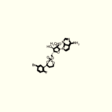 C[C@@]1(O)[C@H](O)[C@@H](COP2(=O)OCC[C@@H](c3cc(Br)ccc3F)O2)O[C@H]1n1ccc2c(N)ncnc21